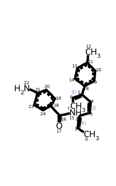 C\C=C(/C=C\C(=C/C)c1ccc(C)cc1)NC(=O)c1ccc(N)cc1